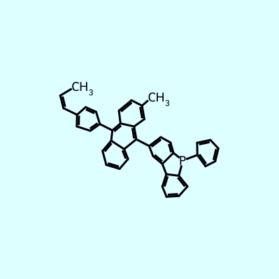 C/C=C\c1ccc(-c2c3ccccc3c(-c3ccc4c(c3)c3ccccc3p4-c3ccccc3)c3cc(C)ccc23)cc1